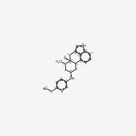 CN1C[C@H](Nc2ccc(OC(C)(C)C)nc2)CC2c3cccc4[nH]cc(c34)C[C@H]21